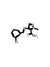 CCC1=CC(/C=N/c2cnn(C)c2C(N)=O)=CCC=C1